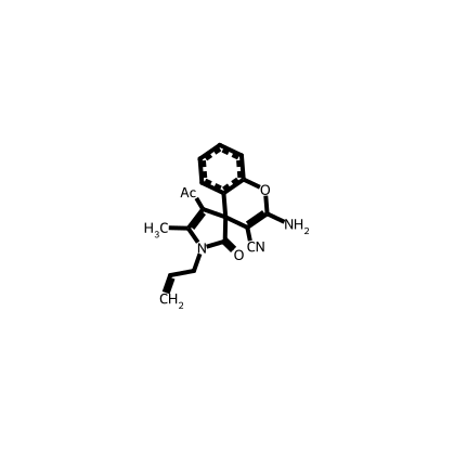 C=CCN1C(=O)C2(C(C#N)=C(N)Oc3ccccc32)C(C(C)=O)=C1C